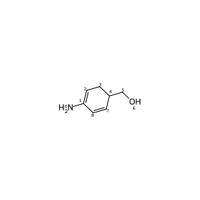 NC1=CCC(CO)C=C1